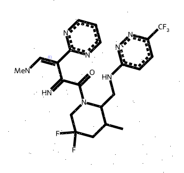 CN/C=C(\C(=N)C(=O)N1CC(F)(F)CC(C)C1CNc1ccc(C(F)(F)F)nn1)c1ncccn1